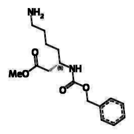 COC(=O)C[C@H](CCCCN)NC(=O)OCc1ccccc1